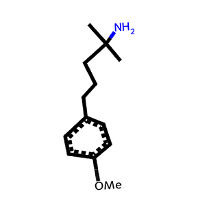 COc1ccc(CCCC(C)(C)N)cc1